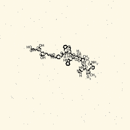 CC(C)C[C@@H](CN1CCC[C@H]1C(N)=O)NC(=O)[C@H](Cc1cnc[nH]1)NC(=O)CNC(=O)[C@@H](NC(=O)[C@H](C)NC(=O)[C@H](Cc1c[nH]c2ccccc12)NC(=O)[C@H](CCC=O)NC(=O)[C@@H](Cc1ccccc1)NC(=O)CN1CCC(NC(=O)CNCCN(CCN(CCNCC(=O)O)CC(=O)O)CC(=O)O)CC1)C(C)C